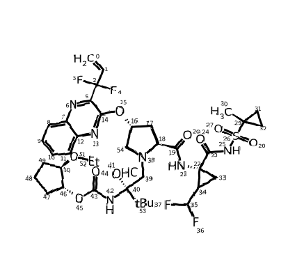 C=CC(F)(F)c1nc2ccccc2nc1O[C@@H]1C[C@@H](C(=O)N[C@]2(C(=O)NS(=O)(=O)C3(C)CC3)CC2C(F)F)N(C[C@](C=O)(NC(=O)O[C@@H]2CCC[C@H]2OCC)C(C)(C)C)C1